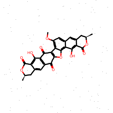 COc1cc2cc3c(c(O)c2c2oc4c(c12)C(=O)c1c(cc2c(c1O)C(=O)O[C@H](C)C2)C4=O)C(=O)O[C@H](C)C3